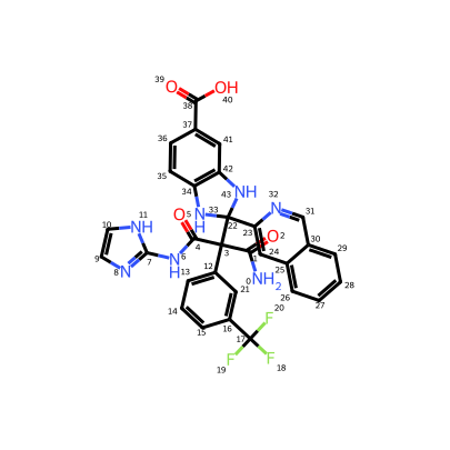 NC(=O)C(C(=O)Nc1ncc[nH]1)(c1cccc(C(F)(F)F)c1)C1(c2cc3ccccc3cn2)Nc2ccc(C(=O)O)cc2N1